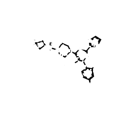 CCOC(=O)C1=C(C2CCN(S(=O)(=O)[C@H]3C[C@](C)(C(=O)O)C3)CC2)NC(c2nccs2)=NC1c1ccc(F)cc1C